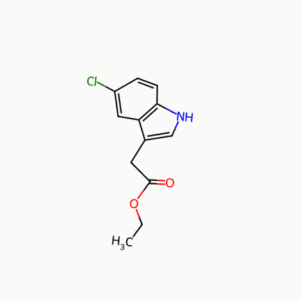 CCOC(=O)Cc1c[nH]c2ccc(Cl)cc12